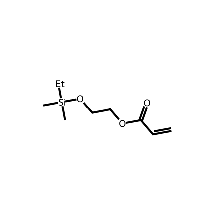 C=CC(=O)OCCO[Si](C)(C)CC